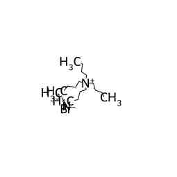 CC#N.CCCC[N+](CCCC)(CCCC)CCCC.[Br-]